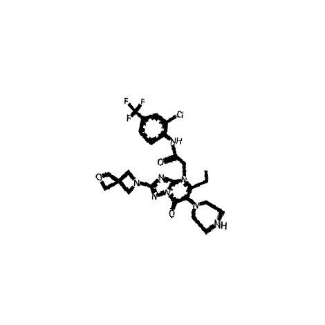 CCc1c(N2CCNCC2)c(=O)n2nc(N3CC4(COC4)C3)nc2n1CC(=O)Nc1ccc(C(F)(F)F)cc1Cl